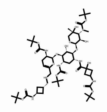 CN(C(=O)OC(C)(C)C)[C@@H]1[C@@H](O)[C@@H](O[C@@H]2[C@@H](O)[C@H](O[C@H]3OC(CNC[C@H]4C[C@H](NC(=O)OC(C)(C)C)C4)=CC[C@H]3NC(=O)OC(C)(C)C)[C@@H](NC(=O)OC(C)(C)C)C[C@H]2NC(=O)C2(O)CC(NC(=O)OC(C)(C)C)C2)OC[C@]1(C)O